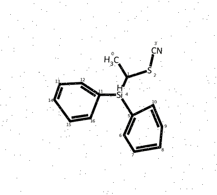 CC(SC#N)[SiH](c1ccccc1)c1ccccc1